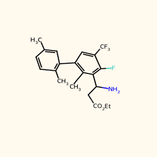 CCOC(=O)CC(N)c1c(C)c(-c2cc(C)ccc2C)cc(C(F)(F)F)c1F